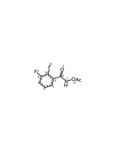 CC(=O)ONC(=O)c1cccc(F)c1F